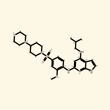 COc1cc(S(=O)(=O)N2CCC(N3CCOCC3)CC2)ccc1Nc1cc(NCC(C)C)c2cc[nH]c2n1